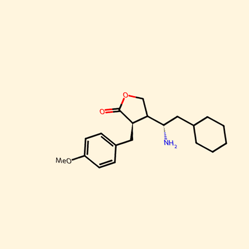 COc1ccc(C[C@H]2C(=O)OCC2[C@@H](N)CC2CCCCC2)cc1